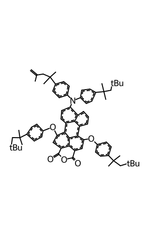 C=C(C)CC(C)(C)c1ccc(N(c2ccc(C(C)(C)CC(C)(C)C)cc2)c2ccc3c4c(Oc5ccc(C(C)(C)CC(C)(C)C)cc5)cc5c6c(cc(Oc7ccc(C(C)(C)CC(C)(C)C)cc7)c(c7cccc2c73)c64)C(=O)OC5=O)cc1